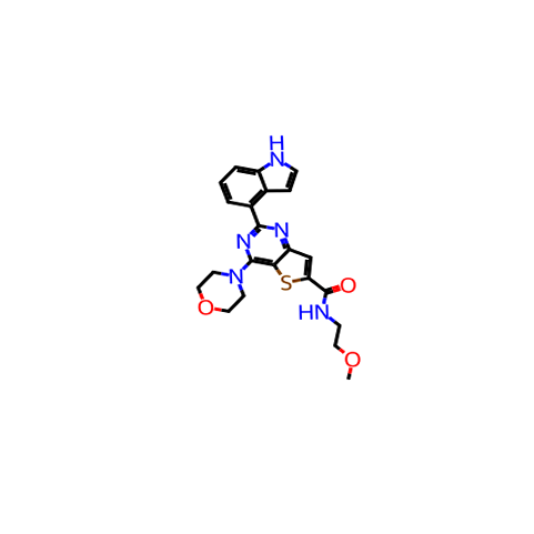 COCCNC(=O)c1cc2nc(-c3cccc4[nH]ccc34)nc(N3CCOCC3)c2s1